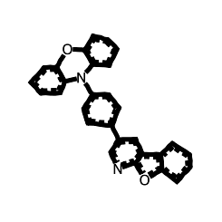 c1ccc2c(c1)Oc1ccccc1N2c1ccc(-c2cnc3oc4ccccc4c3c2)cc1